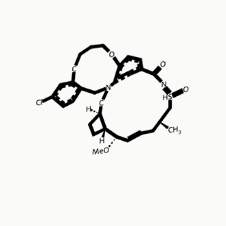 CO[C@H]1/C=C/C[C@H](C)C/[SH](=O)=N\C(=O)c2ccc3c(c2)N(Cc2ccc(Cl)cc2CCCCO3)C[C@@H]2CC[C@H]21